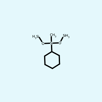 C[Si](O[SiH3])(O[SiH3])C1CCCCC1